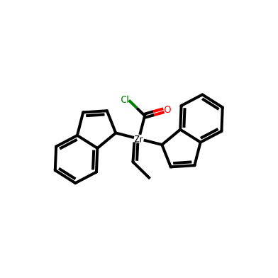 C[CH]=[Zr]([C](=O)Cl)([CH]1C=Cc2ccccc21)[CH]1C=Cc2ccccc21